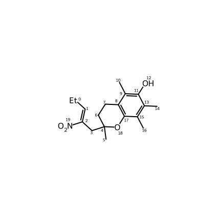 CCC=C(CC1(C)CCc2c(C)c(O)c(C)c(C)c2O1)[N+](=O)[O-]